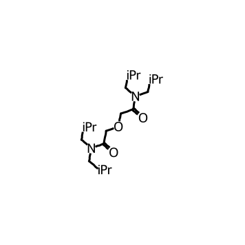 CC(C)CN(CC(C)C)C(=O)COCC(=O)N(CC(C)C)CC(C)C